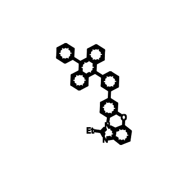 CCc1nc2cccc3c2n1-c1ccc(-c2cccc(-c4c5ccccc5c(-c5ccccc5)c5ccccc45)c2)cc1O3